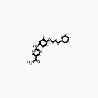 NC(=O)c1cnc(Nc2ccc(OCCCN3CCCCC3)c(F)c2)nc1